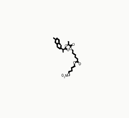 Cc1ccc2cc(C(C)C(=O)OC(C)C(=O)OCCCCCC(=O)OCCCCO[N+](=O)[O-])ccc2c1